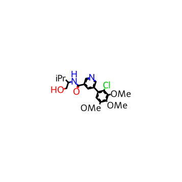 COc1cc(-c2cncc(C(=O)NC(CO)C(C)C)c2)c(Cl)c(OC)c1OC